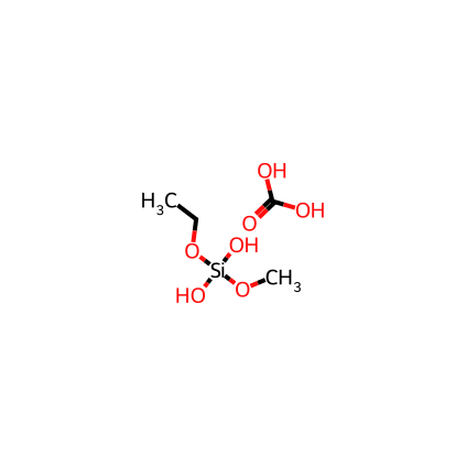 CCO[Si](O)(O)OC.O=C(O)O